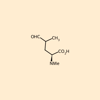 CN[C@@H](CC(C)C=O)C(=O)O